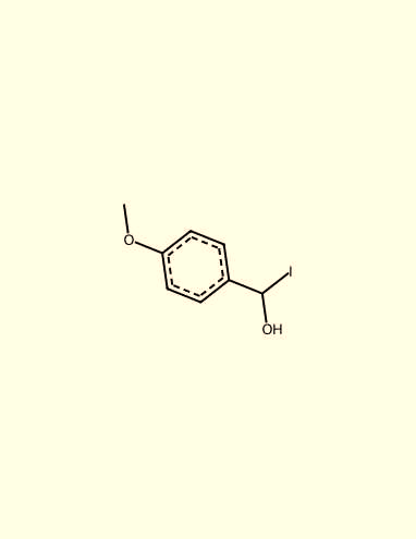 COc1ccc(C(O)I)cc1